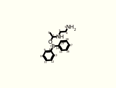 CC(NCCN)OB(c1ccccc1)c1ccccc1